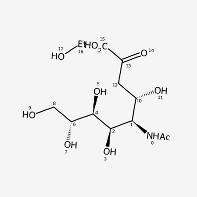 CC(=O)N[C@@H]([C@@H](O)[C@H](O)[C@H](O)CO)[C@@H](O)CC(=O)C(=O)O.CCO